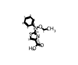 CCON(c1ccccc1)c1nc(C(=O)O)cs1